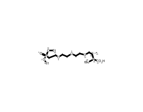 CCOP(=O)(CCOCCOCCOC[C@H](C)N(C(=O)O)C(C)(C)C)OCC